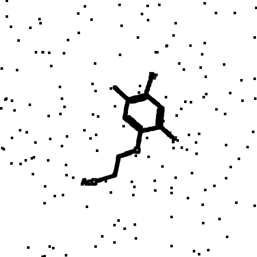 CC(=O)OCCOc1cc(C)c(Br)cc1F